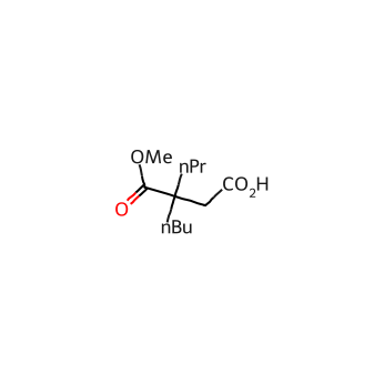 CCCCC(CCC)(CC(=O)O)C(=O)OC